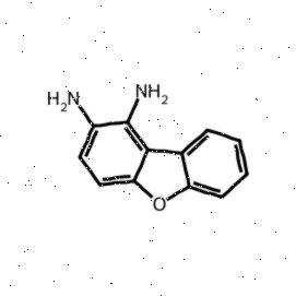 Nc1ccc2oc3ccccc3c2c1N